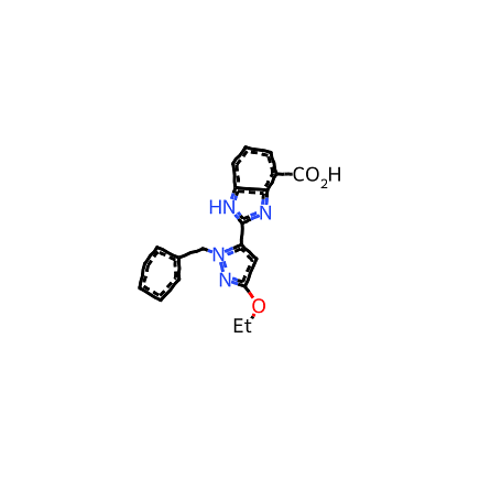 CCOc1cc(-c2nc3c(C(=O)O)cccc3[nH]2)n(Cc2ccccc2)n1